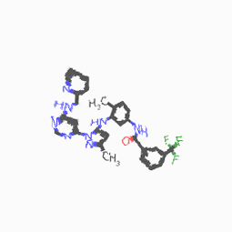 Cc1cc(Nc2cc(NC(=O)c3cccc(C(F)(F)F)c3)ccc2C)n(-c2cc(NCc3ccccn3)ncn2)n1